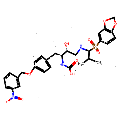 CC(C)C(NC[C@@H](O)[C@H](Cc1ccc(OCc2cccc([N+](=O)[O-])c2)cc1)NC(=O)O)S(=O)(=O)c1ccc2c(c1)OCO2